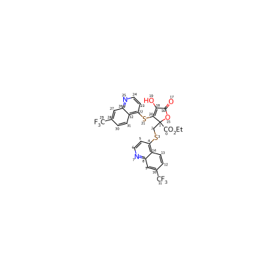 CCOC(=O)C1(CSc2ccnc3cc(C(F)(F)F)ccc23)OC(=O)C(O)=C1Sc1ccnc2cc(C(F)(F)F)ccc12